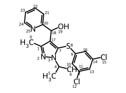 Cc1nn(C(C)C)c(Sc2cc(Cl)cc(Cl)c2)c1C(O)c1ccccn1